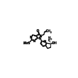 C=CCn1c(=O)c2cnc(SC)nc2n1-c1ccc2c(n1)[C@@](C)(O)CC2